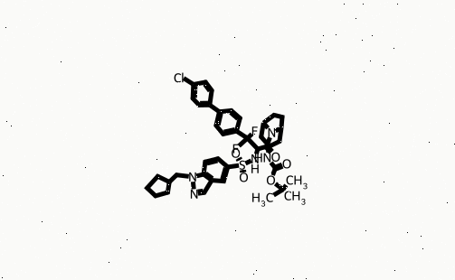 CC(C)(C)OC(=O)NC1CC2CCC(C1)N2C(=O)C(NS(=O)(=O)c1ccc2c(cnn2CC2CCCC2)c1)C(F)(F)c1ccc(-c2ccc(Cl)cc2)cc1